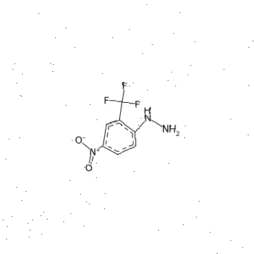 NNc1ccc([N+](=O)[O-])cc1C(F)(F)F